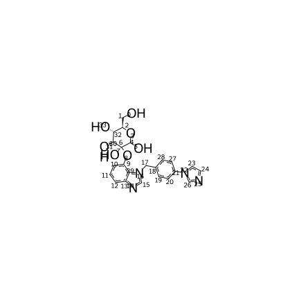 OC[C@H]1OC(O)[C@@](O)(Oc2cccc3ncn(Cc4ccc(-n5ccnc5)cc4)c23)[C@@H](O)[C@@H]1O